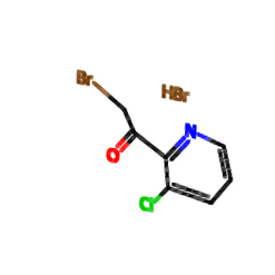 Br.O=C(CBr)c1ncccc1Cl